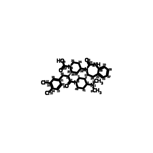 CN(C)C1CCN(C(=O)C(Cc2ccc(Cl)c(Cl)c2)[C@H]2CC(N3CCc4ccccc4NC3=O)CCN2C(=O)O)CC1